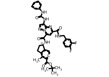 Cc1c(C(=O)OC(C)(C)C)ccc2c1CC[C@@H]2NC(=O)c1cc(C(=O)NCc2ccc(F)c(F)c2)nc2c(NC(=O)Nc3ccccc3)cnn12